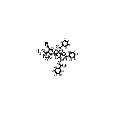 C[C@@]1(OC(=O)c2ccccc2)[C@H](OC(=O)c2ccccc2)[C@@H](COC(=O)c2ccccc2)O[C@H]1n1cc(C#N)c2c(N)ncnc21